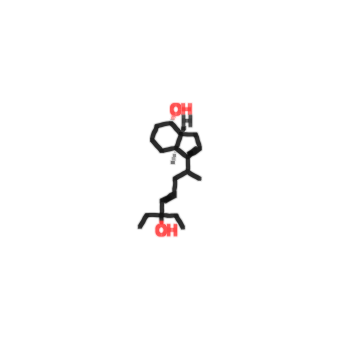 CCC(O)(C=CCC(C)C1=CC[C@H]2[C@@H](O)CCC[C@]12C)CC